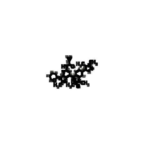 Cc1c(-c2ccc(Nc3cc(NC(=O)C4CC4)nc4c3nc(C)n4C3CCCCO3)c(N(C)S(C)(=O)=O)c2)cnn1C